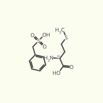 CSCC[C@H](N)C(=O)O.O=S(=O)(O)Cc1ccccc1